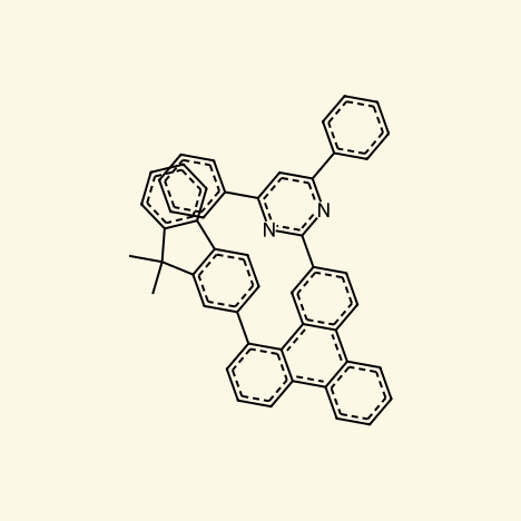 CC1(C)c2ccccc2-c2ccc(-c3cccc4c5ccccc5c5ccc(-c6nc(-c7ccccc7)cc(-c7ccccc7)n6)cc5c34)cc21